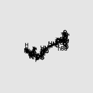 CCCCOc1cccc(Oc2cc3c(cc2NS(=O)(=O)c2cccc(C(=O)NCCCCCNC(=O)CN4CCN(C(=O)c5ccc(Nc6nc(C7CC7)cn7c(-c8cn[nH]c8)cnc67)c(F)c5)CC4)c2)n(C)c(=O)n3C)c1